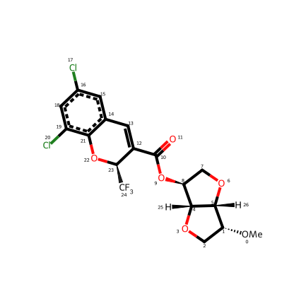 CO[C@@H]1CO[C@H]2[C@@H]1OC[C@@H]2OC(=O)C1=Cc2cc(Cl)cc(Cl)c2O[C@@H]1C(F)(F)F